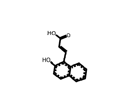 O=C(O)C=Cc1c(O)ccc2ccccc12